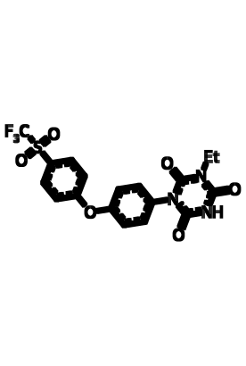 CCn1c(=O)[nH]c(=O)n(-c2ccc(Oc3ccc(S(=O)(=O)C(F)(F)F)cc3)cc2)c1=O